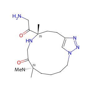 CN[C@@]1(C)CCCCn2cc(nn2)CC[C@@](C)(C(=O)CN)NCC1=O